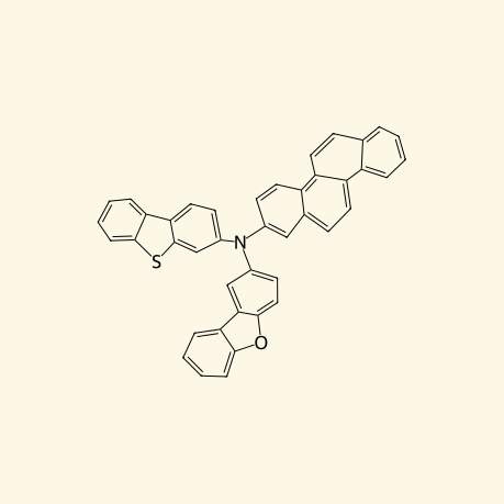 c1ccc2c(c1)ccc1c3ccc(N(c4ccc5c(c4)sc4ccccc45)c4ccc5oc6ccccc6c5c4)cc3ccc21